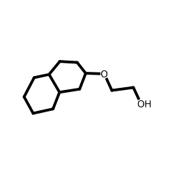 OCCOC1CCC2CCCCC2C1